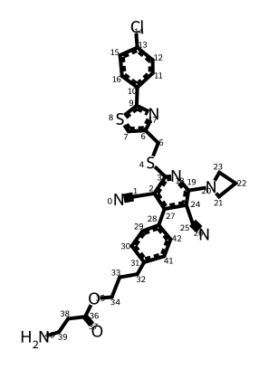 N#Cc1c(SCc2csc(-c3ccc(Cl)cc3)n2)nc(N2CCC2)c(C#N)c1-c1ccc(CCCOC(=O)CCN)cc1